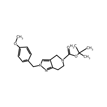 COc1ccc(Cn2cc3c(n2)CCN(C(=O)OC(C)(C)C)C3)cc1